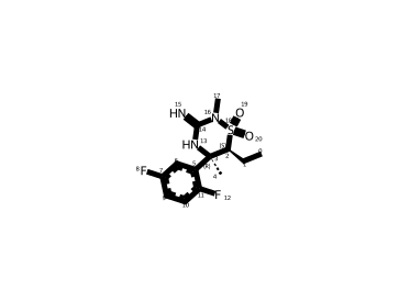 CC[C@H]1[C@@](C)(c2cc(F)ccc2F)NC(=N)N(C)S1(=O)=O